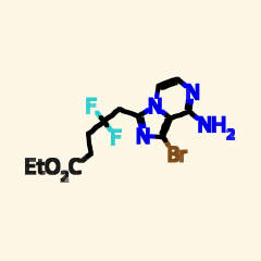 CCOC(=O)CCC(F)(F)Cc1nc(Br)c2c(N)nccn12